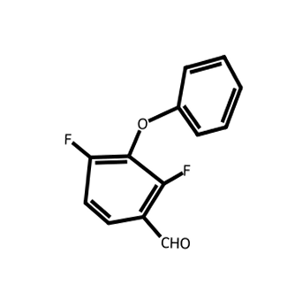 O=Cc1ccc(F)c(Oc2ccccc2)c1F